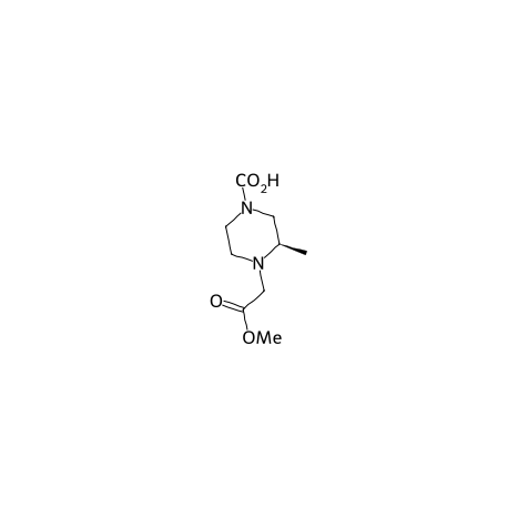 COC(=O)CN1CCN(C(=O)O)C[C@H]1C